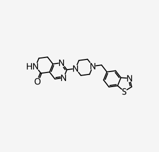 O=C1NCCc2nc(N3CCN(Cc4ccc5scnc5c4)CC3)ncc21